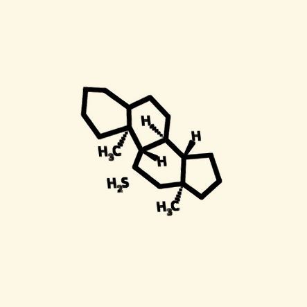 C[C@@]12CCC[C@H]1[C@@H]1CCC3CCCC[C@]3(C)[C@H]1CC2.S